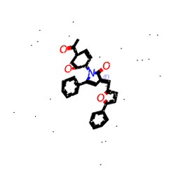 CC(=O)C1C=CC(N2C(=O)/C(=C/c3ccc(-c4ccccc4)o3)C=C2c2ccccc2)C2OC12